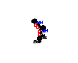 CCC(C)(C)c1ccc(OCC(=O)Nc2cccc(C(=O)CC(=O)Nc3ccccc3)c2C)c(C(C)(C)CC)c1